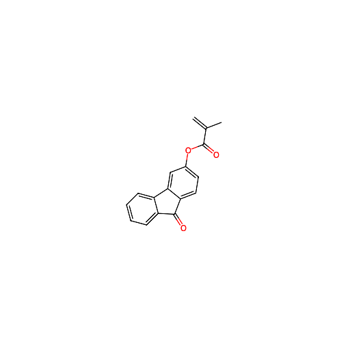 C=C(C)C(=O)Oc1ccc2c(c1)-c1ccccc1C2=O